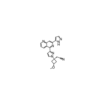 CO[C@H]1C[C@](CC#N)(n2ccc(-c3nc(-c4ccn[nH]4)cc4ncccc34)n2)C1